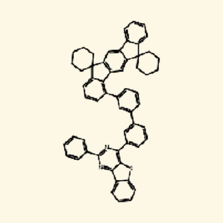 c1ccc(-c2nc(-c3cccc(-c4cccc(-c5cccc6c5-c5cc7c(cc5C65CCCCC5)-c5ccccc5C75CCCCC5)c4)c3)c3sc4ccccc4c3n2)cc1